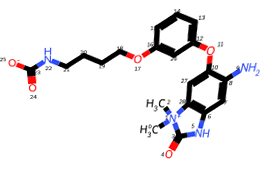 C[N+]1(C)C(=O)Nc2cc(N)c(Oc3cccc(OCCCCNC(=O)[O-])c3)cc21